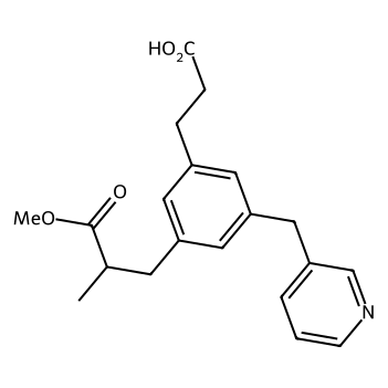 COC(=O)C(C)Cc1cc(CCC(=O)O)cc(Cc2cccnc2)c1